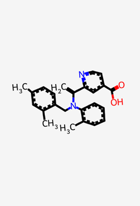 C=C(c1cc(C(=O)O)ccn1)N(Cc1ccc(C)cc1C)c1ccccc1C